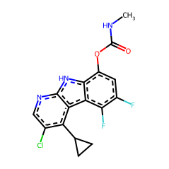 CNC(=O)Oc1cc(F)c(F)c2c1[nH]c1ncc(Cl)c(C3CC3)c12